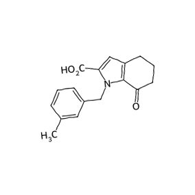 Cc1cccc(Cn2c(C(=O)O)cc3c2C(=O)CCC3)c1